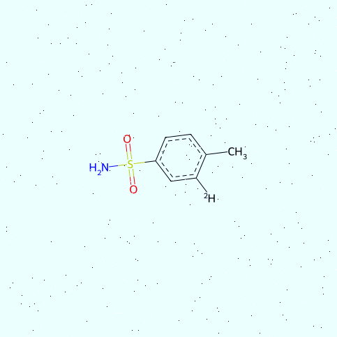 [2H]c1cc(S(N)(=O)=O)ccc1C